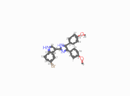 COc1ccc(-c2nc(-c3c[nH]c4ccc(Br)cc34)[nH]c2-c2ccc(OC)cc2)cc1